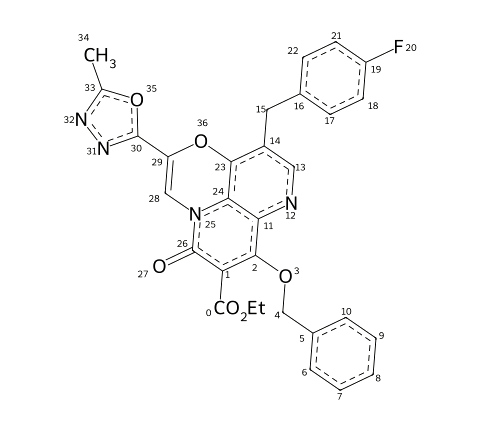 CCOC(=O)c1c(OCc2ccccc2)c2ncc(Cc3ccc(F)cc3)c3c2n(c1=O)C=C(c1nnc(C)o1)O3